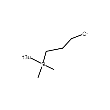 CC(C)(C)[Si](C)(C)CCC[O]